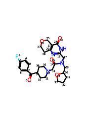 O=C(c1ccc(F)cc1)C1CCN(CC(=O)N(Cc2nc3c(c(=O)[nH]2)COCC3)CC2CCCO2)CC1